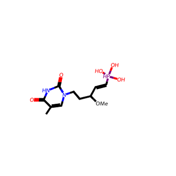 COC(/C=C/[PH](O)(O)O)CCn1cc(C)c(=O)[nH]c1=O